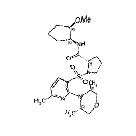 CO[C@@H]1CCC[C@@H]1NC(=O)[C@@H]1CCCN1S(=O)(=O)c1ccc(C)nc1N1[C@@H](C)COC[C@@H]1C